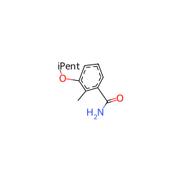 CCCC(C)Oc1cccc(C(N)=O)c1C